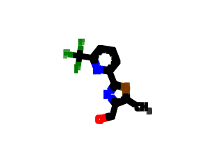 Cc1sc(-c2cccc(C(F)(F)F)n2)nc1C=O